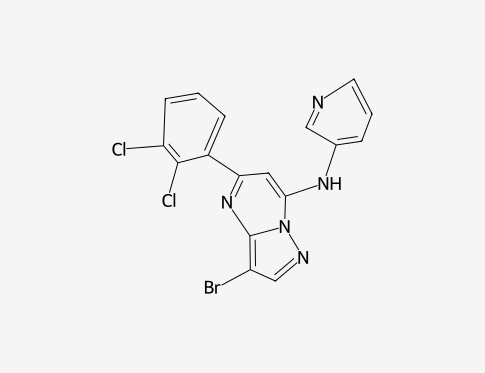 Clc1cccc(-c2cc(Nc3cccnc3)n3ncc(Br)c3n2)c1Cl